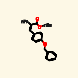 CCCCOC(=O)C(=Cc1ccc(OCc2ccccc2)cc1)CCC